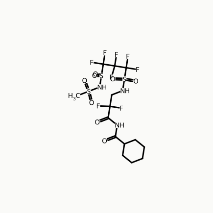 CS(=O)(=O)NS(=O)(=O)C(F)(F)C(F)(F)C(F)(F)S(=O)(=O)NCC(F)(F)C(=O)NC(=O)C1CCCCC1